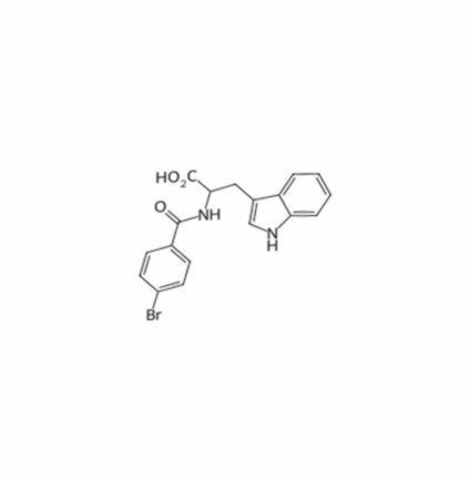 O=C(NC(Cc1c[nH]c2ccccc12)C(=O)O)c1ccc(Br)cc1